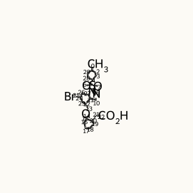 Cc1ccc(S(=O)(=O)n2ncc3c(COc4ccccc4CC(=O)O)cc(Br)cc32)cc1